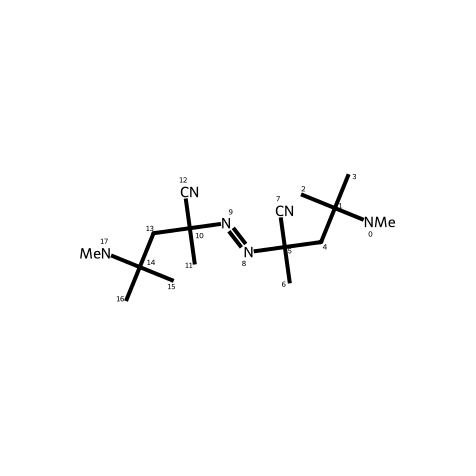 CNC(C)(C)CC(C)(C#N)N=NC(C)(C#N)CC(C)(C)NC